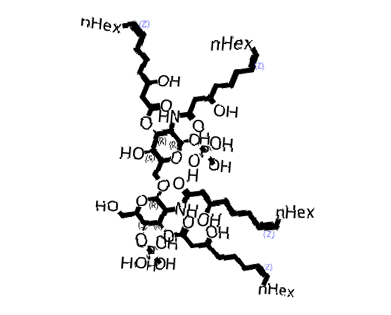 CCCCCC/C=C\CCCC(O)CC(=O)NC1[C@@H](O[PH](O)(O)O)OC(CO[C@@H]2OC(CO)[C@@H](O[PH](O)(O)O)[C@H](OC(=O)CC(O)CCC/C=C\CCCCCC)C2NC(=O)CC(O)CCC/C=C\CCCCCC)[C@@H](O)[C@@H]1OC(=O)CC(O)CCC/C=C\CCCCCC